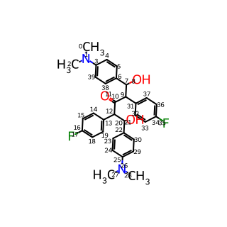 CN(C)c1ccc(C(O)C(C(=O)C(c2ccc(F)cc2)C(O)c2ccc(N(C)C)cc2)c2ccc(F)cc2)cc1